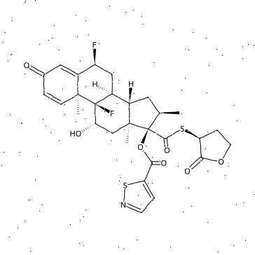 C[C@@H]1C[C@H]2[C@@H]3C[C@H](F)C4=CC(=O)C=C[C@]4(C)[C@@]3(F)[C@@H](O)C[C@]2(C)[C@@]1(OC(=O)c1ccns1)C(=O)S[C@H]1CCOC1=O